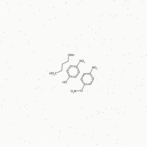 CCCCCCCCCCCCCC(=O)O.O=[N+]([O-])Oc1ccc([N+](=O)[O-])cc1.O=[N+]([O-])c1ccc(O)cc1